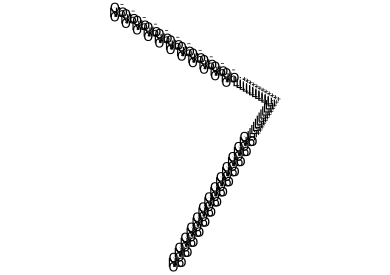 [Li+].[Li+].[Li+].[Li+].[Li+].[Li+].[Li+].[Li+].[Li+].[Li+].[Li+].[Li+].[Li+].[Li+].[Li+].[Li+].[Li+].[Li+].[Li+].[Li+].[Li+].[Li+].[Li+].[O]=[Nb](=[O])[O-].[O]=[Nb](=[O])[O-].[O]=[Nb](=[O])[O-].[O]=[Nb](=[O])[O-].[O]=[Nb](=[O])[O-].[O]=[Nb](=[O])[O-].[O]=[Nb](=[O])[O-].[O]=[Nb](=[O])[O-].[O]=[Nb](=[O])[O-].[O]=[Nb](=[O])[O-].[O]=[Nb](=[O])[O-].[O]=[Nb](=[O])[O-].[O]=[Nb](=[O])[O-].[O]=[Nb](=[O])[O-].[O]=[Nb](=[O])[O-].[O]=[Nb](=[O])[O-].[O]=[Nb](=[O])[O-].[O]=[Nb](=[O])[O-].[O]=[Nb](=[O])[O-].[O]=[Nb](=[O])[O-].[O]=[Nb](=[O])[O-].[O]=[Nb](=[O])[O-].[O]=[Nb](=[O])[O-].[O]=[Nb](=[O])[O-]